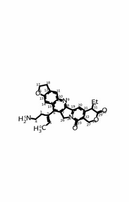 C/C=C(\CCN)c1c2c(nc3cc4c(cc13)OCC4)-c1cc3c(c(=O)n1C2)COC(=O)C3CC